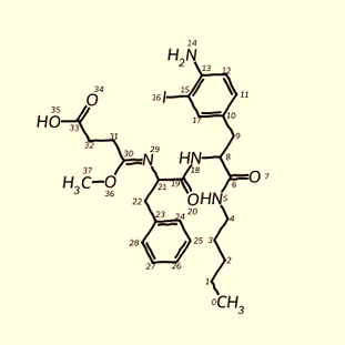 CCCCCNC(=O)C(Cc1ccc(N)c(I)c1)NC(=O)C(Cc1ccccc1)N=C(CCC(=O)O)OC